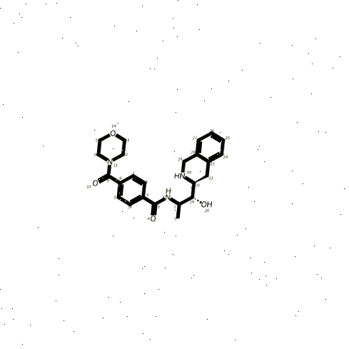 CC(NC(=O)c1ccc(C(=O)N2CCOCC2)cc1)[C@@H](O)[C@@H]1Cc2ccccc2CN1